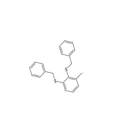 [CH2]c1cccc(SCc2ccccc2)c1SCc1ccccc1